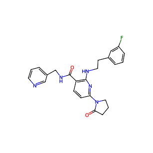 O=C(NCc1cccnc1)c1ccc(N2CCCC2=O)nc1NCCc1cccc(F)c1